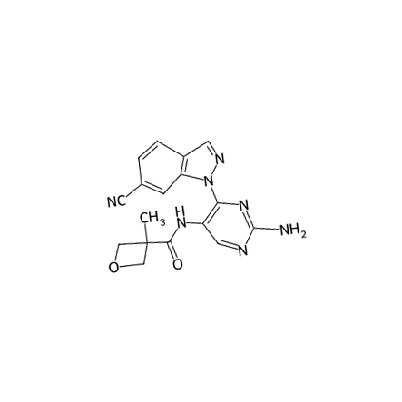 CC1(C(=O)Nc2cnc(N)nc2-n2ncc3ccc(C#N)cc32)COC1